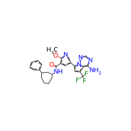 COc1ncc(-c2cc(C(F)(F)F)c3c(N)ncnn23)cc1C(=O)NC1CCCCC(c2ccccc2)C1